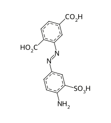 Nc1ccc(N=Nc2cc(C(=O)O)ccc2C(=O)O)cc1S(=O)(=O)O